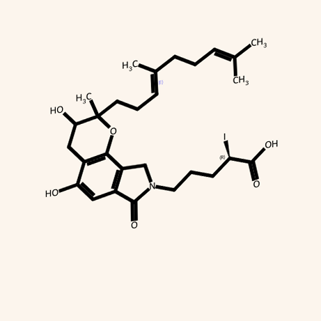 CC(C)=CCC/C(C)=C/CCC1(C)Oc2c(c(O)cc3c2CN(CCC[C@@H](I)C(=O)O)C3=O)CC1O